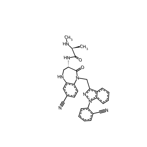 CN[C@@H](C)C(=O)N[C@H]1CNc2cc(C#N)ccc2N(Cc2nn(-c3ccccc3C#N)c3ccccc23)C1=O